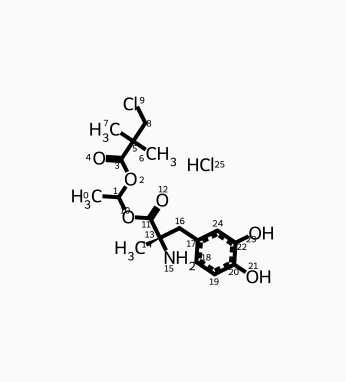 CC(OC(=O)C(C)(C)CCl)OC(=O)[C@@](C)(N)Cc1ccc(O)c(O)c1.Cl